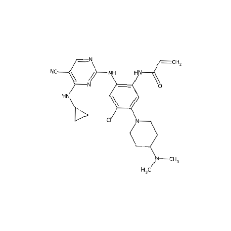 C=CC(=O)Nc1cc(N2CCC(N(C)C)CC2)c(Cl)cc1Nc1ncc(C#N)c(NC2CC2)n1